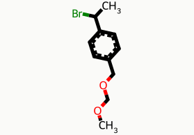 COCOCc1ccc(C(C)Br)cc1